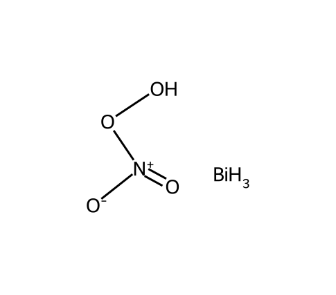 O=[N+]([O-])OO.[BiH3]